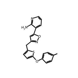 Cc1ccc(Oc2ccc(Cc3cc(-c4cccnc4N)on3)s2)cc1